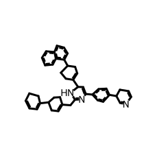 C1=CCCC(C2CC=C(CC3=NC(c4ccc(C5C=NC=CC5)cc4)=CC(C4=CCC(c5cccc6ccccc56)CC4)N3)CC2)=C1